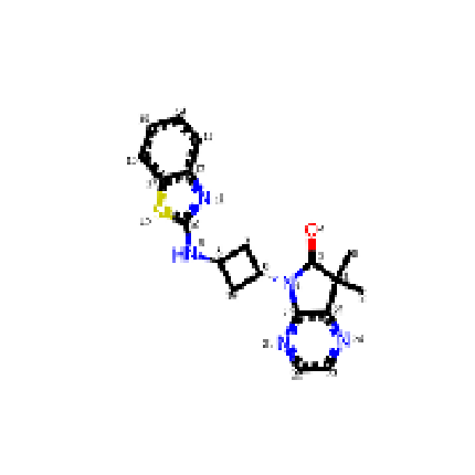 CC1(C)C(=O)N([C@H]2C[C@H](Nc3nc4ccccc4s3)C2)c2nccnc21